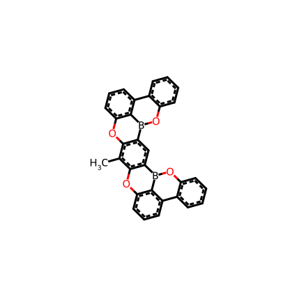 Cc1c2c(cc3c1Oc1cccc4c1B3Oc1ccccc1-4)B1Oc3ccccc3-c3cccc(c31)O2